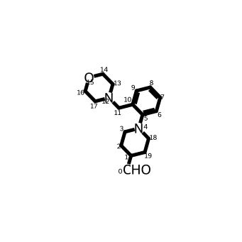 O=CC1CCN(c2ccccc2CN2CCOCC2)CC1